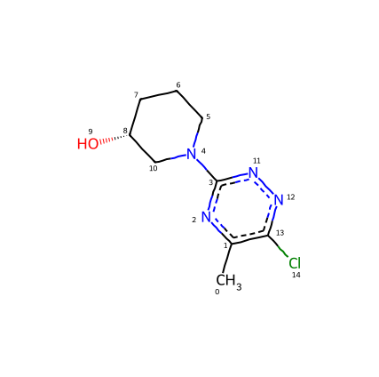 Cc1nc(N2CCC[C@@H](O)C2)nnc1Cl